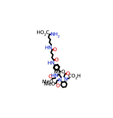 COC(=O)CN[C@H](Cc1ccc(NC(=O)CCCC(=O)NCCCCC(N)C(=O)O)cc1)CN(CC(=O)OC)[C@H]1CCCC[C@@H]1N(CC(=O)O)CC(=O)OC